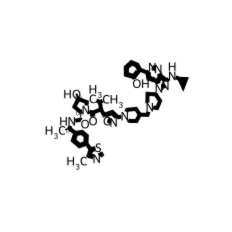 Cc1ncsc1-c1ccc([C@H](C)NC(=O)[C@@H]2C[C@@H](O)CN2C(=O)C(c2cc(N3CCC(CN4CCC(n5nc(NC6CC6)c6nnc(-c7ccccc7O)cc65)CC4)CC3)no2)C(C)C)cc1